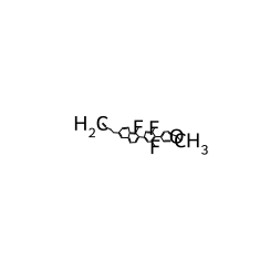 C=CCCc1ccc2c(F)c(-c3cc(F)c(-c4ccc(OC)cc4)c(F)c3)ccc2c1